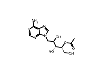 CC(=O)O[C@H](CO)[C@H](O)C(O)Cn1cnc2c(N)ncnc21